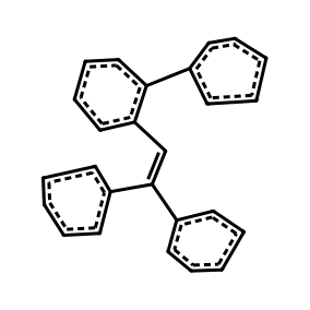 C(=C(c1ccccc1)c1ccccc1)c1ccccc1-c1ccccc1